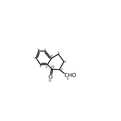 O=CC1CCc2ccccc2C1=O